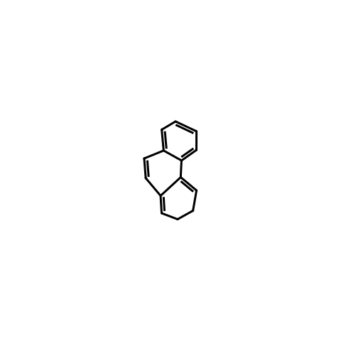 C1=c2ccc3ccccc3c2=CCC1